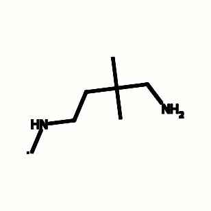 [CH2]NCCC(C)(C)CN